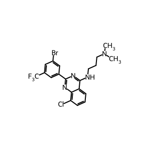 CN(C)CCCNc1nc(-c2cc(Br)cc(C(F)(F)F)c2)nc2c(Cl)cccc12